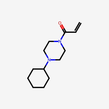 C=CC(=O)N1CCN(C2CCCCC2)CC1